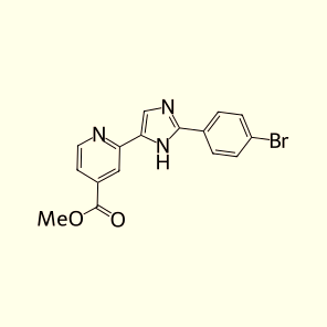 COC(=O)c1ccnc(-c2cnc(-c3ccc(Br)cc3)[nH]2)c1